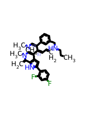 C=C/C=C(C1=CN(C)C(=C)c2[nH]c(-c3ccc(F)cc3F)cc21)\C(=C/N(C)C)c1cccc(CNCCC)c1